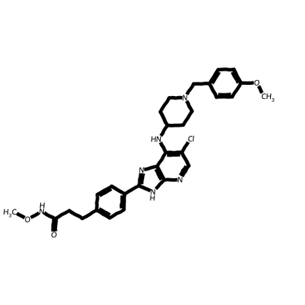 CONC(=O)CCc1ccc(-c2nc3c(NC4CCN(Cc5ccc(OC)cc5)CC4)c(Cl)cnc3[nH]2)cc1